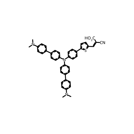 CN(C)c1ccc(-c2ccc(N(c3ccc(-c4ccc(N(C)C)cc4)cc3)c3ccc(-c4ccc(/C=C(/C#N)C(=O)O)s4)cc3)cc2)cc1